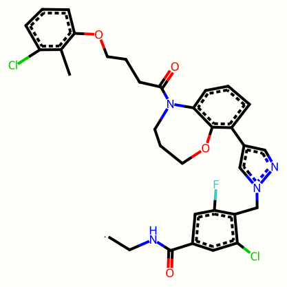 [CH2]CNC(=O)c1cc(F)c(Cn2cc(-c3cccc4c3OCCCN4C(=O)CCCOc3cccc(Cl)c3C)cn2)c(Cl)c1